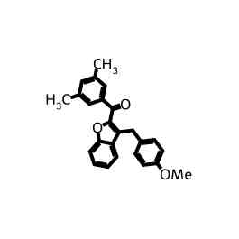 COc1ccc(Cc2c(C(=O)c3cc(C)cc(C)c3)oc3ccccc23)cc1